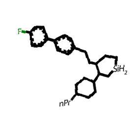 CCCC1CCC(C2C[SiH2]CCC2CCc2ccc(-c3ccc(F)cc3)cc2)CC1